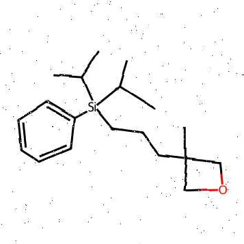 CC(C)[Si](CCCC1(C)COC1)(c1ccccc1)C(C)C